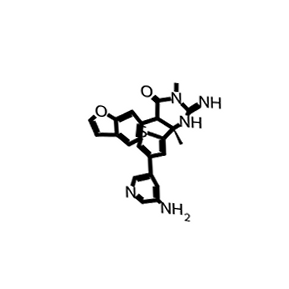 CN1C(=N)N[C@](C)(c2cc(-c3cncc(N)c3)cs2)C(c2ccc3ccoc3c2)C1=O